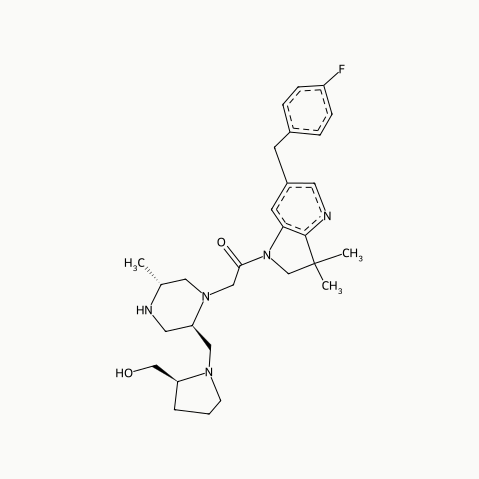 C[C@@H]1CN(CC(=O)N2CC(C)(C)c3ncc(Cc4ccc(F)cc4)cc32)[C@@H](CN2CCC[C@H]2CO)CN1